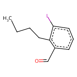 CCCCc1c(I)cccc1C=O